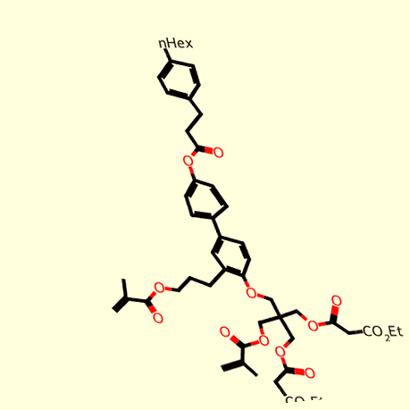 C=C(C)C(=O)OCCCc1cc(-c2ccc(OC(=O)CCc3ccc(CCCCCC)cc3)cc2)ccc1OCC(COC(=O)CC(=O)OCC)(COC(=O)CC(=O)OCC)COC(=O)C(=C)C